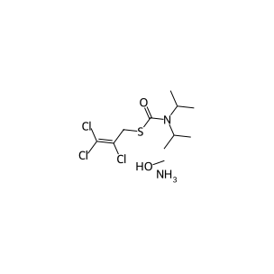 CC(C)N(C(=O)SCC(Cl)=C(Cl)Cl)C(C)C.CO.N